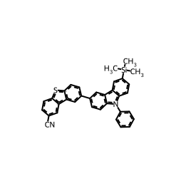 C[Si](C)(C)c1ccc2c(c1)c1cc(-c3ccc4sc5ccc(C#N)cc5c4c3)ccc1n2-c1ccccc1